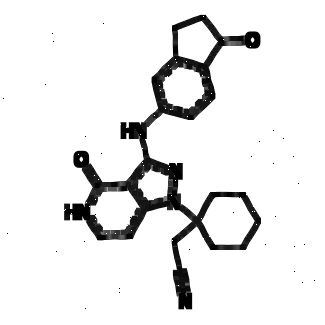 N#CCC1(n2nc(Nc3ccc4c(c3)CCC4=O)c3c(=O)[nH]ccc32)CCCCC1